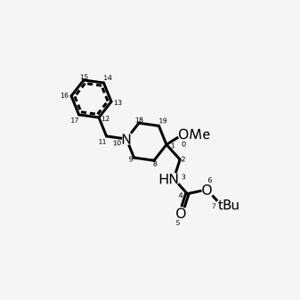 COC1(CNC(=O)OC(C)(C)C)CCN(Cc2ccccc2)CC1